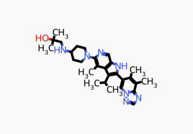 Cc1c(-c2[nH]c3cnc(N4CCC(NCC(C)(C)O)CC4)c(C)c3c2C(C)C)cn2ncnc2c1C